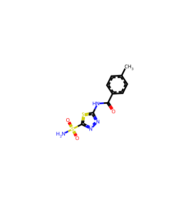 Cc1ccc(C(=O)Nc2nnc(S(N)(=O)=O)s2)cc1